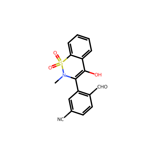 CN1C(c2cc(C#N)ccc2C=O)=C(O)c2ccccc2S1(=O)=O